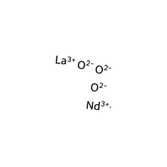 [La+3].[Nd+3].[O-2].[O-2].[O-2]